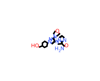 NC(=O)C1=C2N=CC=CN2N(c2cn(C3CCC(CO)CC3)nc2N2CCOCC2)C1